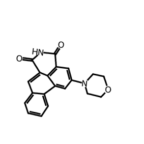 O=C1NC(=O)c2cc3ccccc3c3cc(N4CCOCC4)cc1c23